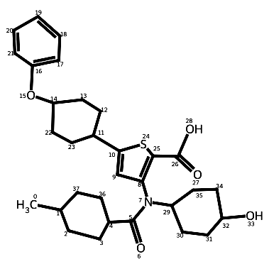 CC1CCC(C(=O)N(c2cc(C3CCC(Oc4ccccc4)CC3)sc2C(=O)O)C2CCC(O)CC2)CC1